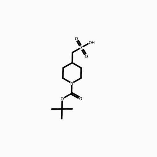 CC(C)(C)OC(=O)N1CCC(CS(=O)(=O)O)CC1